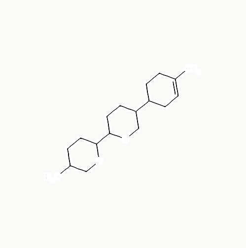 CC1=CCC(C2CCC(C3CCC(C)CO3)OC2)CC1